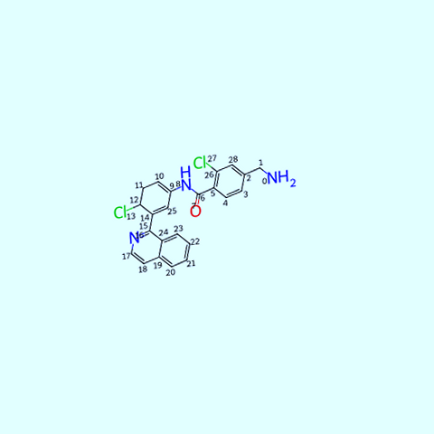 NCc1ccc(C(=O)NC2=CCC(Cl)C(c3nccc4ccccc34)=C2)c(Cl)c1